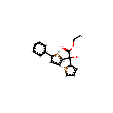 CCOC(=O)[C@](O)(c1cccs1)c1ccc(-c2ccccc2)s1